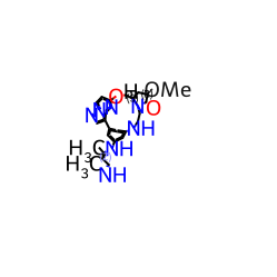 CO[C@@H]1C[C@H]2COc3ccn4ncc(c4n3)-c3cc(cc(N/C(C)=C(/C)C=N)c3)NCCN2C1=O